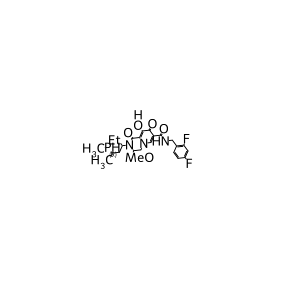 CCC(C[C@@H](C)PC)N1C(=O)c2c(O)c(=O)c(C(=O)NCc3ccc(F)cc3F)cn2CC1OC